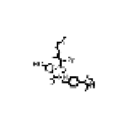 C=N/C=C\C=C(/C)[C@H](C(=O)N1C[C@H](O)C[C@H]1C(=O)NCc1ccc(-c2scnc2C)cc1)C(C)C